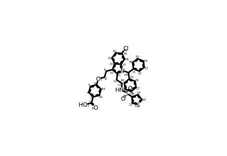 O=C(O)c1ccc(OCCc2c(CCNS(=O)(=O)c3ccsc3)n(C(c3ccccc3)c3ccccc3)c3cc(Cl)ccc23)cc1